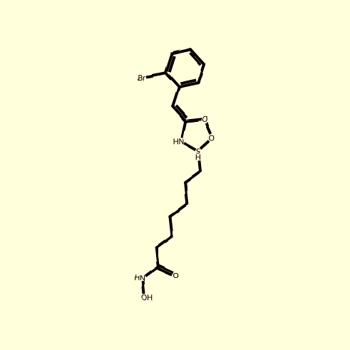 O=C(CCCCCC[SH]1N/C(=C/c2ccccc2Br)OO1)NO